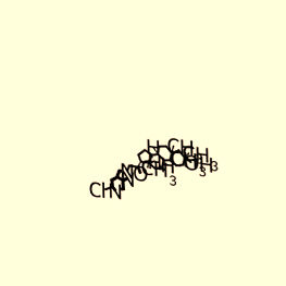 C[C@@]1(O)CC[C@]2(C)[C@H]3CC[C@]4(C)[C@@H](C(=O)Cn5cc6cc(Cl)ncc6n5)CC[C@H]4[C@@H]3CC[C@]2(C)C1